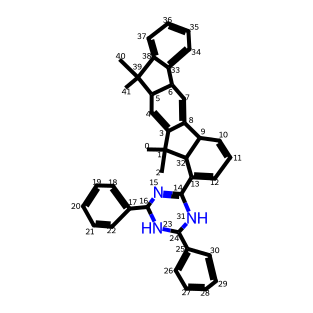 CC1(C)C2=CC3C(C=C2C2C=CC=C(C4=NC(c5ccccc5)NC(c5ccccc5)N4)C21)c1ccccc1C3(C)C